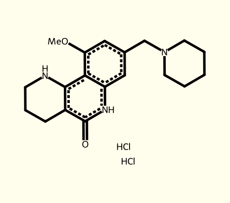 COc1cc(CN2CCCCC2)cc2[nH]c(=O)c3c(c12)NCCC3.Cl.Cl